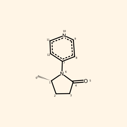 C[C@H]1CCC(=O)N1c1ccncc1